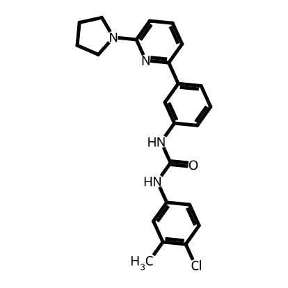 Cc1cc(NC(=O)Nc2cccc(-c3cccc(N4CCCC4)n3)c2)ccc1Cl